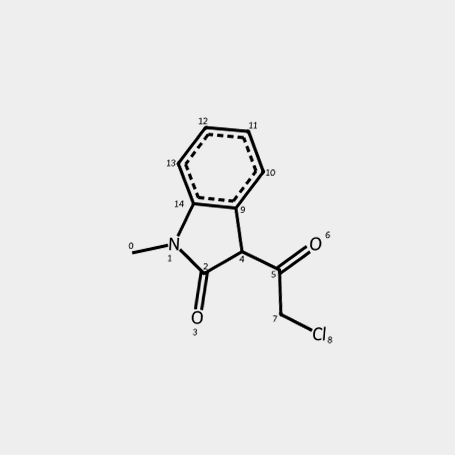 CN1C(=O)C(C(=O)CCl)c2ccccc21